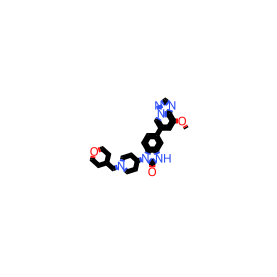 COc1cc(-c2ccc3c(c2)[nH]c(=O)n3C2CCN(CC3CCOCC3)CC2)cn2ncnc12